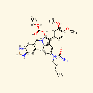 CCCCN(C(N)=O)c1ccc2c(c1)c(-c1ccc(OC)c(OC)c1)c(OC(=O)OCC)n2Cc1ccc2nsnc2c1